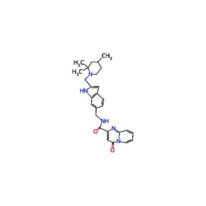 CC1CCN(Cc2cc3ccc(CNC(=O)c4cc(=O)n5ccccc5n4)cc3[nH]2)C(C)(C)C1